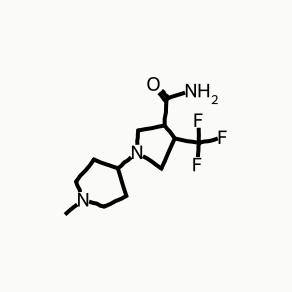 CN1CCC(N2CC(C(N)=O)C(C(F)(F)F)C2)CC1